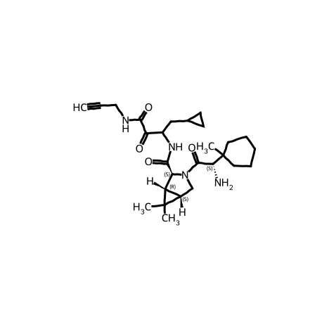 C#CCNC(=O)C(=O)C(CC1CC1)NC(=O)[C@@H]1[C@@H]2[C@H](CN1C(=O)[C@@H](N)C1(C)CCCCC1)C2(C)C